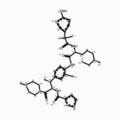 COc1ccc(C(F)(F)C(=O)N[C@H](C(=O)Nc2ccc([C@H](C)[C@@H](NC(=O)c3ccns3)C(=O)N3CCN(C)CC3)cc2F)[C@H]2CC[C@H](C)CC2)cn1